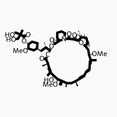 C=C1[C@H](C)C[C@H](C)/C=C/C=C/C=C(\C)[C@@H](OC)C[C@@H]2CC[C@@H](C)[C@@](O)(O2)C(=O)C(=O)N2CCCC[C@H]2C(=O)O[C@H]([C@@H](C)C[C@@H]2CC[C@@H](OC(=O)C(C)(CO)CO)[C@H](OC)C2)CC(=O)[C@H](C)/C=C(\C)[C@@H](O)[C@H]1OC